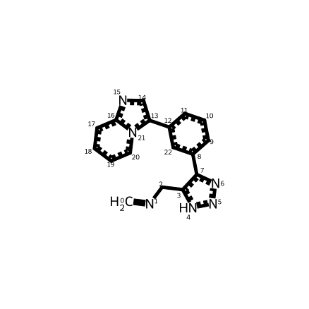 C=NCc1[nH]nnc1-c1cccc(-c2cnc3ccccn23)c1